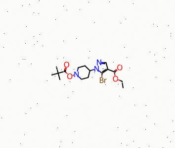 CCOC(=O)c1cnn(C2CCN(OC(=O)C(C)(C)C)CC2)c1Br